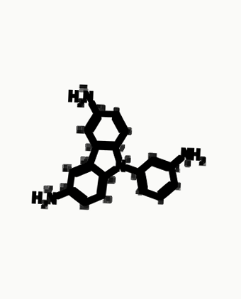 Nc1cccc(-n2c3ccc(N)cc3c3cc(N)ccc32)c1